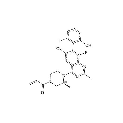 C=CC(=O)N1CCN(c2nc(C)nc3c(F)c(-c4c(O)cccc4F)c(Cl)cc23)[C@@H](C)C1